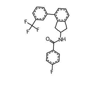 O=C(NC1Cc2cccc(-c3cccc(C(F)(F)F)c3)c2C1)c1ccc(F)cc1